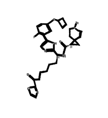 CCN1CCC2(CC1)C[C@@H]2C(=O)N[C@@H](CCCCCC(=O)c1ncco1)c1ncc(-c2cc(OC3CCC3)ccc2F)[nH]1